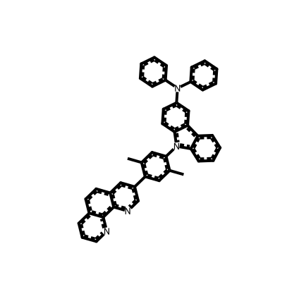 Cc1cc(-n2c3ccccc3c3cc(N(c4ccccc4)c4ccccc4)ccc32)c(C)cc1-c1cnc2c(ccc3cccnc32)c1